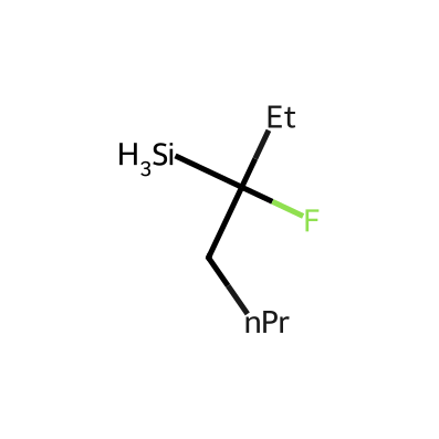 CCCCC(F)([SiH3])CC